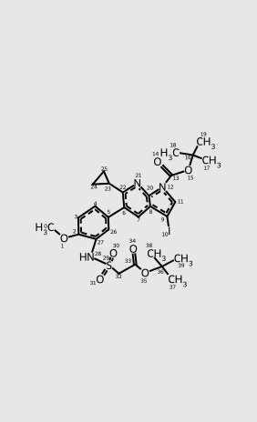 COc1ccc(-c2cc3c(I)cn(C(=O)OC(C)(C)C)c3nc2C2CC2)cc1NS(=O)(=O)CC(=O)OC(C)(C)C